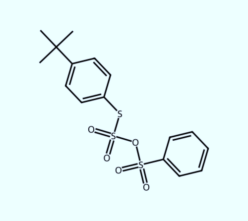 CC(C)(C)c1ccc(SS(=O)(=O)OS(=O)(=O)c2ccccc2)cc1